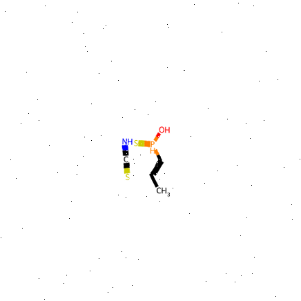 CC=C[PH](O)=S.N=C=S